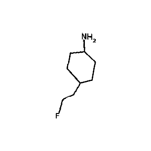 NC1CCC(CCF)CC1